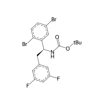 CC(C)(C)OC(=O)N[C@@H](Cc1cc(F)cc(F)c1)c1cc(Br)ccc1Br